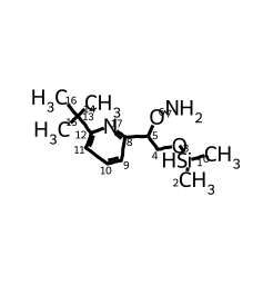 C[SiH](C)OCC(ON)c1cccc(C(C)(C)C)n1